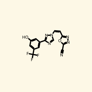 N#Cc1nnc(/C=C\n2cnc(-c3cc(O)cc(C(F)(F)F)c3)n2)o1